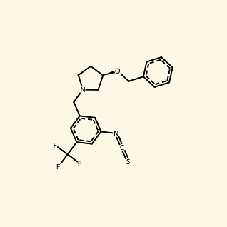 FC(F)(F)c1cc(CN2CC[C@@H](OCc3ccccc3)C2)cc(N=C=S)c1